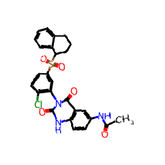 CC(=O)Nc1ccc2[nH]c(=O)n(-c3cc(S(=O)(=O)C4CCCc5ccccc54)ccc3Cl)c(=O)c2c1